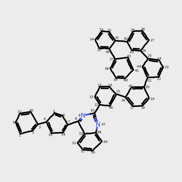 c1ccc(-c2ccc(-c3nc(-c4cccc(-c5cccc(-c6cccc(-c7cccc(-c8ccccc8-c8ccccc8)c7)c6)c5)c4)nc4ccccc34)cc2)cc1